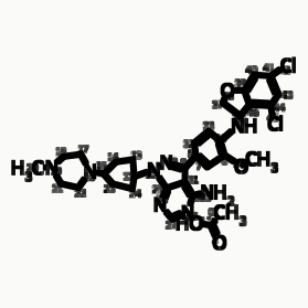 CC(=O)O.COc1cc(-c2nn(C3CCC(N4CCN(C)CC4)CC3)c3ncnc(N)c23)ccc1NC1COc2cc(Cl)cc(Cl)c21